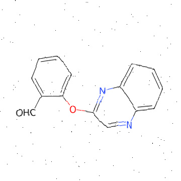 O=Cc1ccccc1Oc1cnc2ccccc2n1